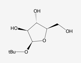 CC(C)(C)O[C@@H]1O[C@H](CO)[C@@H](O)[C@@H]1O